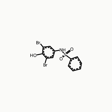 O=S(=O)(Nc1cc(Br)c(O)c(Br)c1)c1ccccc1